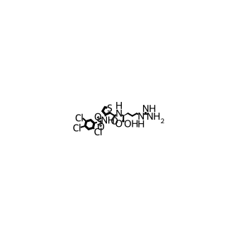 N=C(N)NCCC[C@H](NC(=O)c1sccc1NS(=O)(=O)c1cc(Cl)c(Cl)cc1Cl)C(=O)O